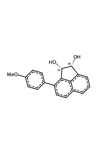 COc1ccc(-c2ccc3cccc4c3c2[C@H](O)[C@@H]4O)cc1